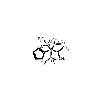 C[N](C)[Zr]([C]1=CC=CC1)([N](C)C)([N](C)C)[Ge]([C](F)(F)F)([C](F)(F)F)[C](F)(F)F